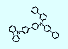 c1ccc(-c2ccc(N(c3ccc(-c4ccc(-n5c6ccccc6c6ccccc65)cc4)cc3)c3cccc(-c4ccccc4)c3)cc2)cc1